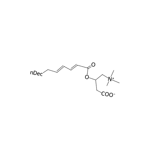 CCCCCCCCCCCC=CC=CC(=O)OC(CC(=O)[O-])C[N+](C)(C)C